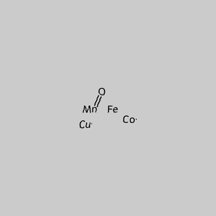 [Co].[Cu].[Fe].[O]=[Mn]